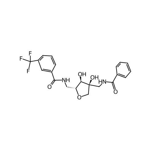 O=C(NC[C@H]1OC[C@@](O)(CNC(=O)c2ccccc2)[C@@H]1O)c1cccc(C(F)(F)F)c1